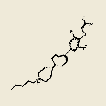 CCCCC[Si@H]1CC[C@H]([C@H]2CC[C@H](c3cc(F)c(OC=C(F)F)c(F)c3)CC2)CC1